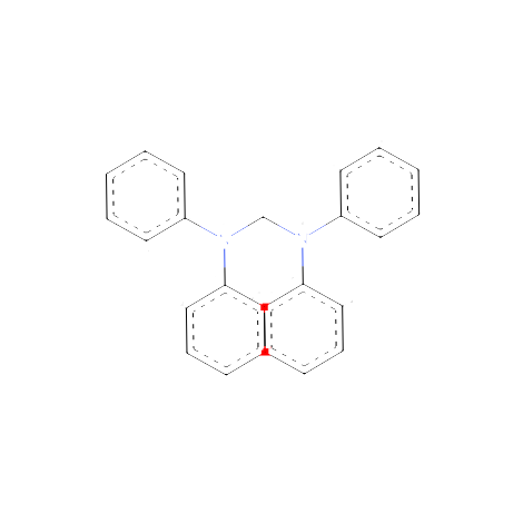 c1ccc(N(CN(c2ccccc2)c2ccccc2)c2ccccc2)cc1